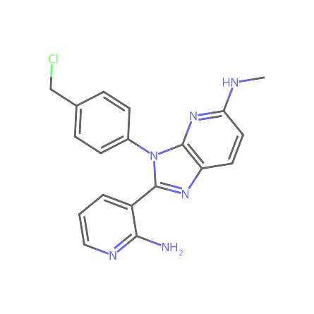 CNc1ccc2nc(-c3cccnc3N)n(-c3ccc(CCl)cc3)c2n1